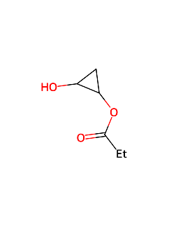 CCC(=O)OC1CC1O